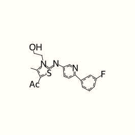 CC(=O)c1s/c(=N\c2ccc(-c3cccc(F)c3)nc2)n(CCO)c1C